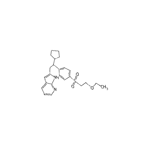 CCOCCS(=O)(=O)c1ccc(C(Cc2cc3cccnc3[nH]2)C2CCCC2)cc1